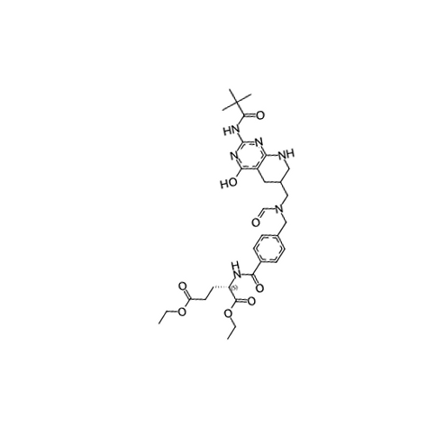 CCOC(=O)CC[C@H](NC(=O)c1ccc(CN(C=O)CC2CNc3nc(NC(=O)C(C)(C)C)nc(O)c3C2)cc1)C(=O)OCC